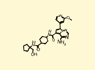 COc1cc(-c2cc(C(=O)NC3CCC(C(=O)NC4(CO)CCCC4)CC3)c3c(N)ncnn23)ccn1